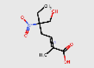 CCC(CO)(C/C=C(\C)C(=O)O)[N+](=O)[O-]